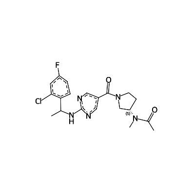 CC(=O)N(C)[C@H]1CCN(C(=O)c2cnc(NC(C)c3ccc(F)cc3Cl)nc2)C1